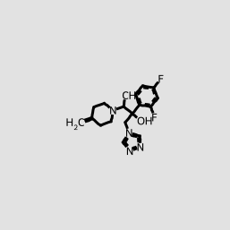 C=C1CCN(C(C)C(O)(Cn2cnnc2)c2ccc(F)cc2F)CC1